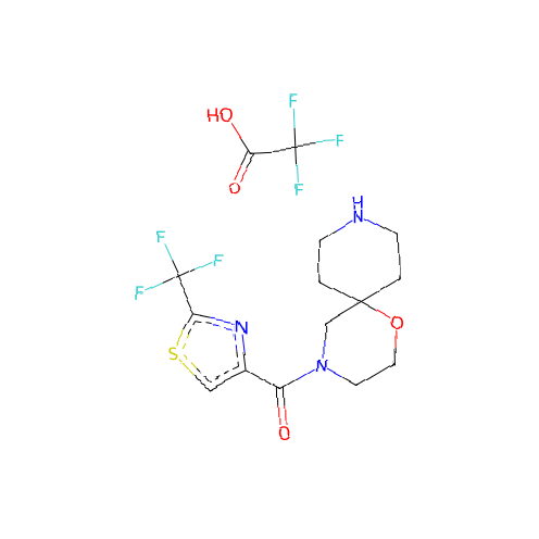 O=C(O)C(F)(F)F.O=C(c1csc(C(F)(F)F)n1)N1CCOC2(CCNCC2)C1